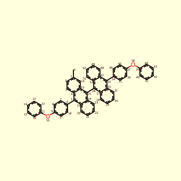 Cc1ccc2c(-c3ccc(Oc4ccccc4)cc3)c3ccccc3c(-c3c4ccccc4c(-c4ccc(Oc5ccccc5)cc4)c4ccccc34)c2c1